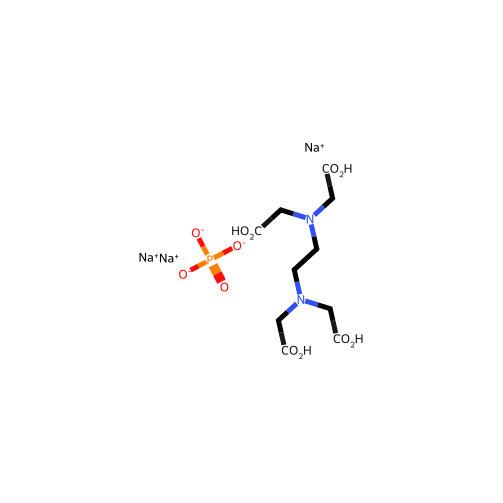 O=C(O)CN(CCN(CC(=O)O)CC(=O)O)CC(=O)O.O=P([O-])([O-])[O-].[Na+].[Na+].[Na+]